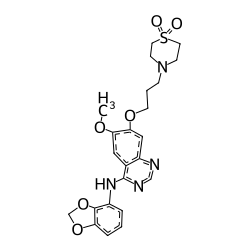 COc1cc2c(Nc3cccc4c3OCO4)ncnc2cc1OCCCN1CCS(=O)(=O)CC1